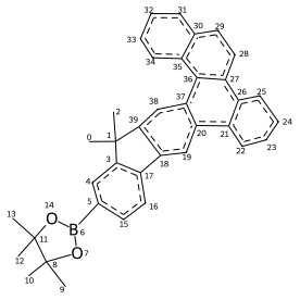 CC1(C)c2cc(B3OC(C)(C)C(C)(C)O3)ccc2-c2cc3c4ccccc4c4ccc5ccccc5c4c3cc21